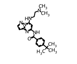 CN(C)CCNc1cc(NC(=O)c2ccc(C(C)(C)C)cc2)nc2ccnn12